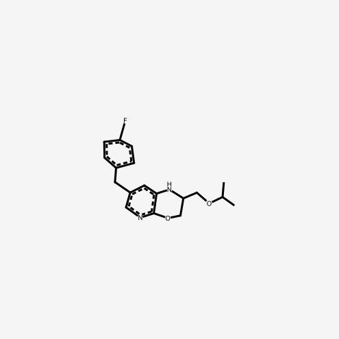 CC(C)OCC1COc2ncc(Cc3ccc(F)cc3)cc2N1